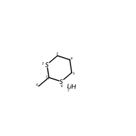 C[C]1SCCCS1.[LiH]